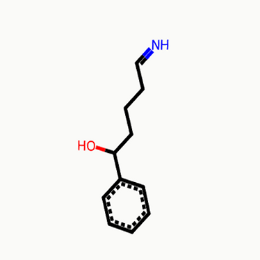 N=CCCCC(O)c1ccccc1